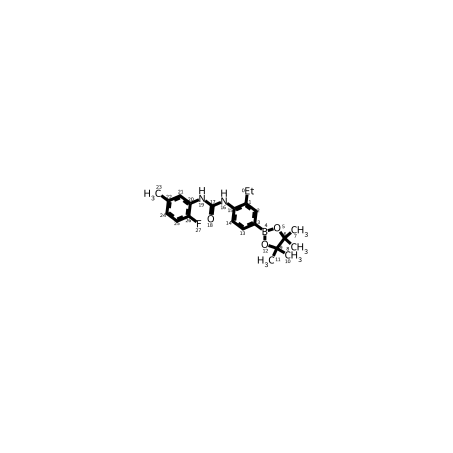 CCc1cc(B2OC(C)(C)C(C)(C)O2)ccc1NC(=O)Nc1cc(C)ccc1F